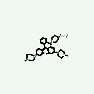 CN1CCN(c2ccc3c(-c4ccccc4C(=O)N4CCC(C(=O)O)CC4)c4ccc(=[N+]5CCN(C)CC5)cc-4oc3c2)CC1